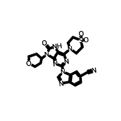 N#Cc1ccc2ncn(-c3nc(N4CCS(=O)(=O)CC4)c4[nH]c(=O)n(C5CCOCC5)c4n3)c2c1